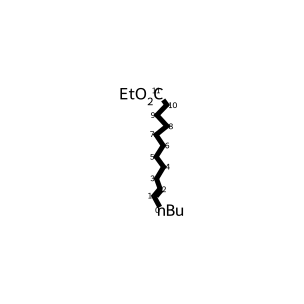 CCCCC=CCCCCCCCCC(=O)OCC